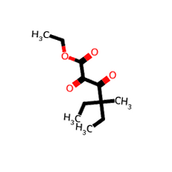 CCOC(=O)C(=O)C(=O)C(C)(CC)CC